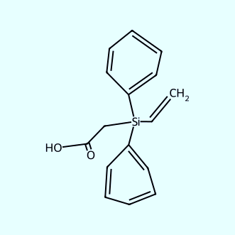 C=C[Si](CC(=O)O)(c1ccccc1)c1ccccc1